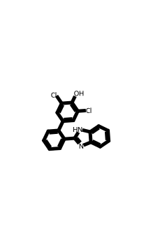 Oc1c(Cl)cc(-c2ccccc2-c2nc3ccccc3[nH]2)cc1Cl